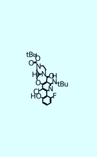 CC(C)(C)Nc1nc(-c2c(O)cccc2F)c(Cl)c2c1C(=O)N1CCN(C(=O)OC(C)(C)C)C[C@@H]1CO2